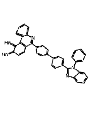 N=C1C=Cc2c(-c3ccc(-c4ccc(-c5nc6ccccc6n5-c5ccccc5)cc4)cc3)nc3ccccc3c2C1=N